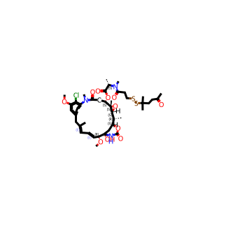 COc1cc2cc(c1Cl)N(C)C(=O)C[C@H](OC(=O)[C@H](C)N(C)C(=O)CCSSC(C)(C)CCC(C)=O)[C@]1(C)O[C@H]1[C@H](C)[C@@H]1C[C@@](O)(NC(=O)O1)[C@H](OC)/C=C/C=C(\C)C2